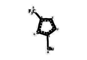 CC(C)(C)c1ccc(C(F)(F)F)s1